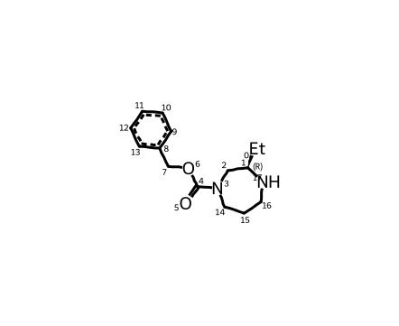 CC[C@@H]1CN(C(=O)OCc2ccccc2)CCCN1